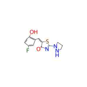 O=C1N=C(N2CCCN2)SC1=Cc1cc(F)ccc1O